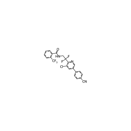 N#Cc1ccc(-c2cnc(C(F)(F)CNC(=O)c3ccccc3C(F)(F)F)c(Cl)c2)cc1